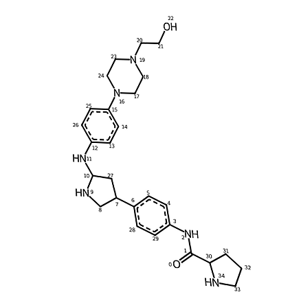 O=C(Nc1ccc(C2CNC(Nc3ccc(N4CCN(CCO)CC4)cc3)C2)cc1)C1CCCN1